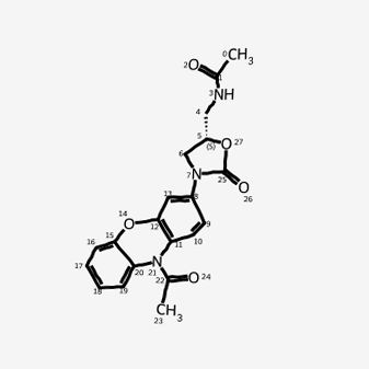 CC(=O)NC[C@H]1CN(c2ccc3c(c2)Oc2ccccc2N3C(C)=O)C(=O)O1